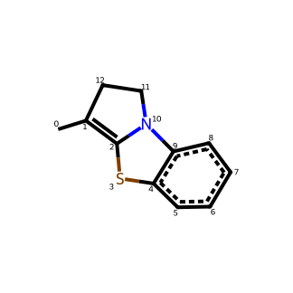 CC1=C2Sc3ccccc3N2CC1